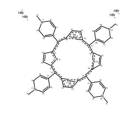 Br.Br.Br.Br.CN1C=CC(c2c3nc(c(C4=CCN(C)C=C4)c4ccc([nH]4)c(C4=CCN(C)C=C4)c4nc(c(C5=CCN(C)C=C5)c5ccc2[nH]5)C=C4)C=C3)=CC1